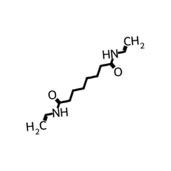 C=CNC(=O)CCCCCCC(=O)NC=C